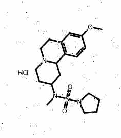 COc1ccc2c(c1)CCN1CCC(N(C)S(=O)(=O)N3CCCC3)CC21.Cl